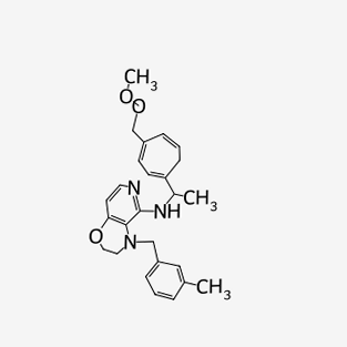 COOCC1=CC=C(C(C)Nc2nccc3c2N(Cc2cccc(C)c2)CCO3)CC=C1